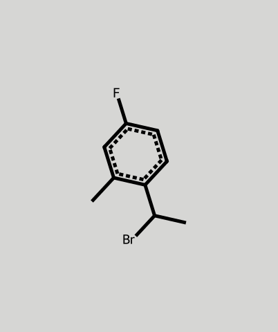 Cc1cc(F)ccc1C(C)Br